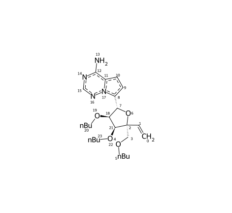 C=C[C@]1(COCCCC)O[C@@H](c2ccc3c(N)ncnn23)[C@H](OCCCC)[C@@H]1OCCCC